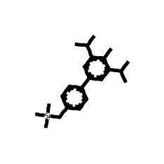 Cc1c(C(C)C)cc(-c2ccc(C[Si](C)(C)C)cc2)cc1C(C)C